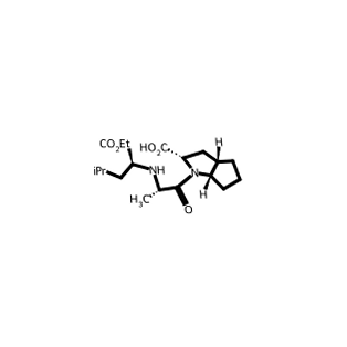 CCOC(=O)[C@H](CC(C)C)N[C@@H](C)C(=O)N1[C@H](C(=O)O)C[C@@H]2CCC[C@@H]21